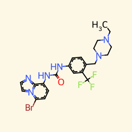 CCN1CCN(Cc2ccc(NC(=O)Nc3ccc(Br)n4ccnc34)cc2C(F)(F)F)CC1